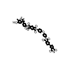 Cc1cc(C(C)(c2ccc(O)c(-n3c(=O)c4cc5c(=O)n(-c6ccc(Oc7ccc(N8C(=O)c9ccc(-c%10ccc%11c(c%10)C(=O)N(C)C%11=O)cc9C8=O)cc7)cc6)c(=O)c5cc4c3=O)c2)C(F)(F)F)ccc1O